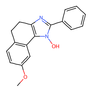 COc1ccc2c(c1)-c1c(nc(-c3ccccc3)n1O)CC2